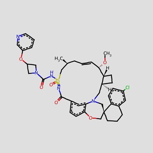 CO[C@H]1/C=C/C[C@H](C)CS(=O)(NC(=O)N2CC(Oc3cccnc3)C2)=NC(=O)c2ccc3c(c2)N(C[C@@H]2CC[C@H]21)C[C@@]1(CCCc2cc(Cl)ccc21)CO3